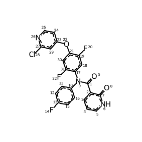 O=C(c1ccc[nH]c1=O)N(c1ccc(F)cc1)c1cc(F)c(Oc2ccnc(Cl)c2)cc1F